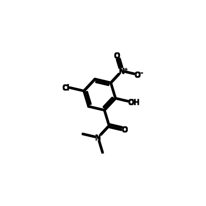 CN(C)C(=O)c1cc(Cl)cc([N+](=O)[O-])c1O